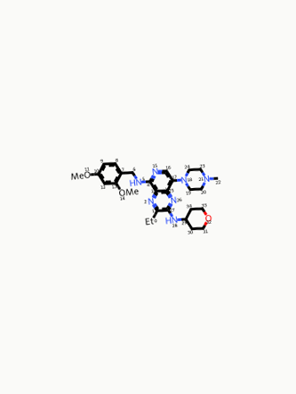 CCc1nc2c(NCc3ccc(OC)cc3OC)ncc(N3CCN(C)CC3)c2nc1NC1CCOCC1